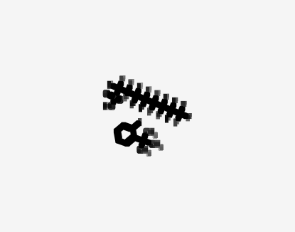 CC(C)(C)c1ccccc1I.O=S(=O)(O)C(F)(F)C(F)(F)C(F)(F)C(F)(F)C(F)(F)C(F)(F)C(F)(F)C(F)(F)F